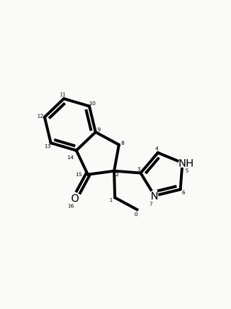 CCC1(c2c[nH]cn2)Cc2ccccc2C1=O